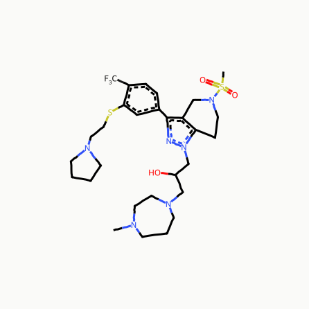 CN1CCCN(CC(O)Cn2nc(-c3ccc(C(F)(F)F)c(SCCN4CCCC4)c3)c3c2CCN(S(C)(=O)=O)C3)CC1